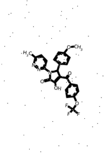 COc1ccc(C2C(C(=O)c3ccc(OC(F)(F)F)cc3)=C(O)C(=O)N2c2ccc(C)nn2)cc1